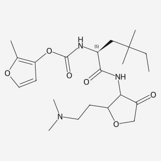 CCC(C)(C)C[C@H](NC(=O)Oc1ccoc1C)C(=O)NC1C(=O)COC1CCN(C)C